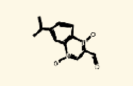 CC(C)c1ccc2c(c1)[n+]([O-])cc(C=O)[n+]2[O-]